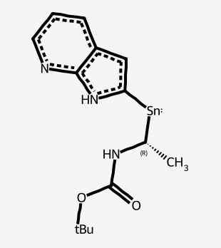 C[C@H](NC(=O)OC(C)(C)C)[Sn][c]1cc2cccnc2[nH]1